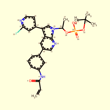 C=CC(=O)Nc1cccc(-c2cnc3c(c2)c(-c2ccnc(F)c2)cn3C(C)OP(=O)(O)OC(C)(C)C)c1